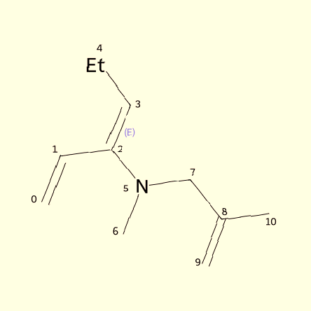 C=C/C(=C\CC)N(C)CC(=C)C